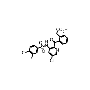 Cc1cc(S(=O)(=O)Nc2cc(Cl)cnc2C(=O)c2ccccc2CC(=O)O)ccc1Cl